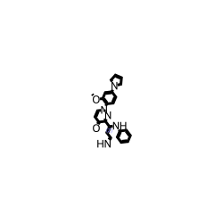 COc1cc(N2CC=CC2)ccc1-n1ccc(=O)c(/C(=C/C=N)Nc2ccccc2)n1